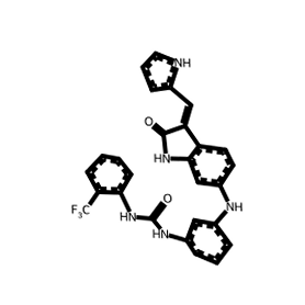 O=C(Nc1cccc(Nc2ccc3c(c2)NC(=O)/C3=C\c2ccc[nH]2)c1)Nc1ccccc1C(F)(F)F